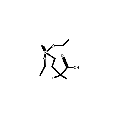 CCOP(=O)(CCC(C)(F)C(=O)O)OCC